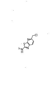 ClCc1ccc2nc(NI)sc2n1